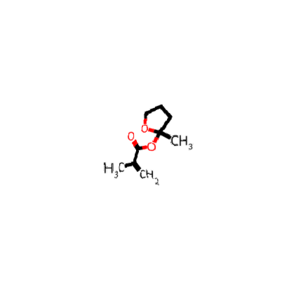 C=C(C)C(=O)OC1(C)CCCO1